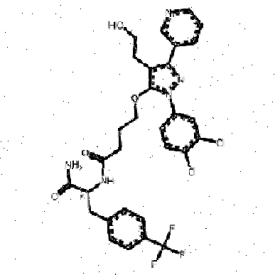 NC(=O)[C@H](Cc1ccc(C(F)(F)F)cc1)NC(=O)CCCOc1c(CCO)c(-c2cccnc2)nn1-c1ccc(Cl)c(Cl)c1